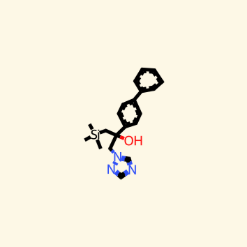 C[Si](C)(C)CC(O)(Cn1cncn1)c1ccc(-c2ccccc2)cc1